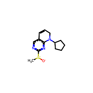 C[S+]([O-])c1ncc2c(n1)N(C1CCCC1)CC=C2